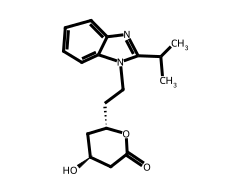 CC(C)c1nc2ccccc2n1CC[C@H]1C[C@H](O)CC(=O)O1